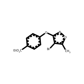 CCOC(=O)c1ccc(Oc2noc(C)c2Br)cc1